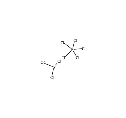 ClP(Cl)(Cl)(Cl)Cl.[O-][S+](Cl)Cl